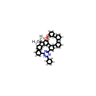 CC1(C)c2ccccc2-c2cc3c(cc21)S(=O)(=O)c1ccccc1-c1ccccc1-c1ccccc1-c1ccc(-c2nc(-c4ccccc4)nc(-c4ccccc4)n2)cc1-3